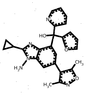 Cc1noc(C)c1-c1cc(C(O)(c2ccccn2)c2ccco2)c2nc(C3CC3)n(N)c2c1